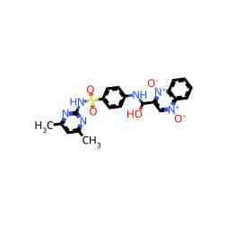 Cc1cc(C)nc(NS(=O)(=O)c2ccc(NC(O)c3c[n+]([O-])c4ccccc4[n+]3[O-])cc2)n1